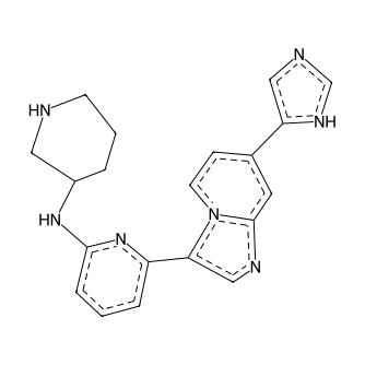 c1cc(NC2CCCNC2)nc(-c2cnc3cc(-c4cnc[nH]4)ccn23)c1